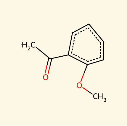 [CH2]C(=O)c1ccccc1OC